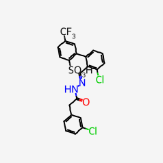 O=C(Cc1cccc(Cl)c1)NN=Cc1c(Cl)cccc1-c1cc(C(F)(F)F)ccc1S(=O)(=O)O